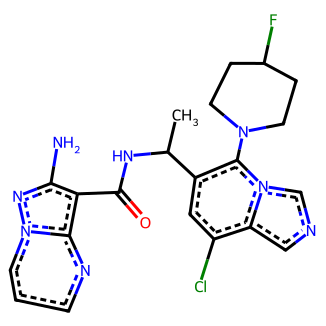 CC(NC(=O)c1c(N)nn2cccnc12)c1cc(Cl)c2cncn2c1N1CCC(F)CC1